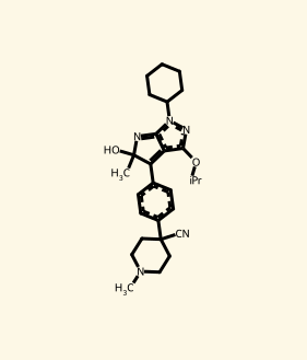 CC(C)Oc1nn(C2CCCCC2)c2c1=C(c1ccc(C3(C#N)CCN(C)CC3)cc1)C(C)(O)N=2